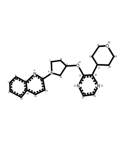 c1ccc2nc(N3CCC(Oc4nccnc4C4CCOCC4)C3)ccc2c1